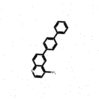 Nc1ccnc2ccc(-c3ccc(-c4ccccc4)cc3)cc12